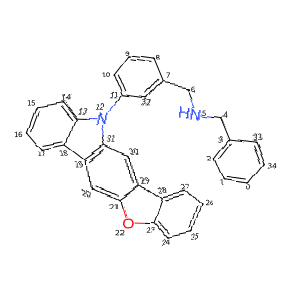 c1ccc(CNCc2cccc(-n3c4ccccc4c4cc5oc6ccccc6c5cc43)c2)cc1